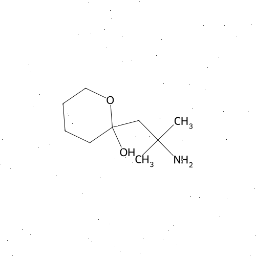 CC(C)(N)CC1(O)CCCCO1